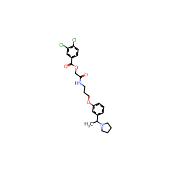 CC(c1cccc(OCCCNC(=O)COC(=O)c2ccc(Cl)c(Cl)c2)c1)N1CCCC1